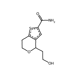 NC(=O)c1cc2c(s1)CCOC2CCO